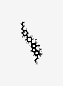 C=CCCC1CCC(C2CC=C(c3cc4c(c(F)c3F)-c3c(cc(CCC)c(F)c3F)C4)CC2)CC1